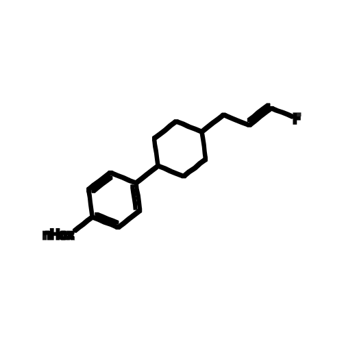 CCCCCCc1ccc(C2CCC(C/C=C/F)CC2)cc1